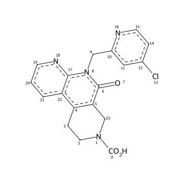 O=C(O)N1CCc2c(c(=O)n(Cc3cc(Cl)ccn3)c3ncccc23)C1